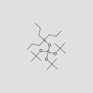 CCC[Si](CCC)(CCC)[O][Ti]([O]C(C)(C)C)([O]C(C)(C)C)[O]C(C)(C)C